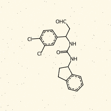 O=CCC(NC(=O)NC1CCc2ccccc21)c1ccc(Cl)c(Cl)c1